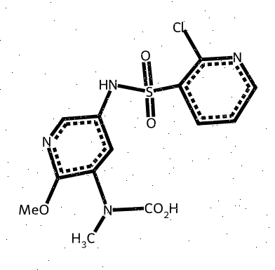 COc1ncc(NS(=O)(=O)c2cccnc2Cl)cc1N(C)C(=O)O